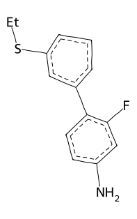 CCSc1cccc(-c2ccc(N)cc2F)c1